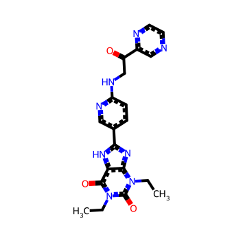 CCn1c(=O)c2[nH]c(-c3ccc(NCC(=O)c4cnccn4)nc3)nc2n(CC)c1=O